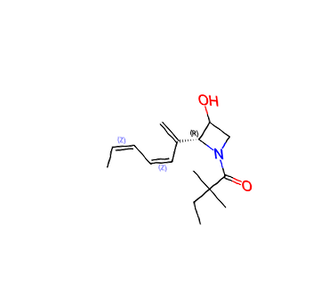 C=C(/C=C\C=C/C)[C@@H]1C(O)CN1C(=O)C(C)(C)CC